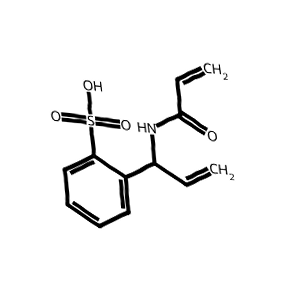 C=CC(=O)NC(C=C)c1ccccc1S(=O)(=O)O